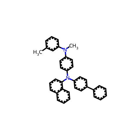 Cc1cccc(N(C)c2ccc(N(c3ccc(-c4ccccc4)cc3)c3cccc4ccccc34)cc2)c1